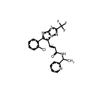 CC(NC(=O)/C=C/c1c(-c2ccccc2Cl)nc2sc(C(F)(F)F)nn12)c1ccccn1